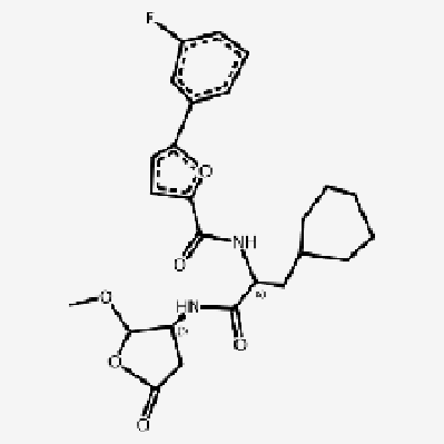 COC1OC(=O)C[C@@H]1NC(=O)[C@H](CC1CCCCC1)NC(=O)c1ccc(-c2cccc(F)c2)o1